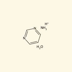 N.O.[H+].c1cncnc1